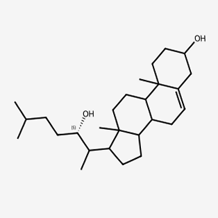 CC(C)CC[C@H](O)C(C)C1CCC2C3CC=C4CC(O)CCC4(C)C3CCC21C